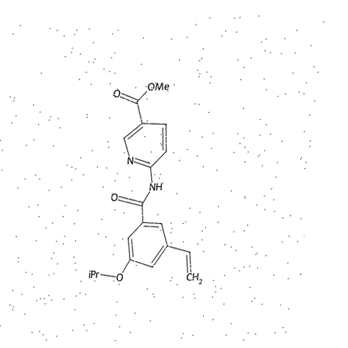 C=Cc1cc(OC(C)C)cc(C(=O)Nc2ccc(C(=O)OC)cn2)c1